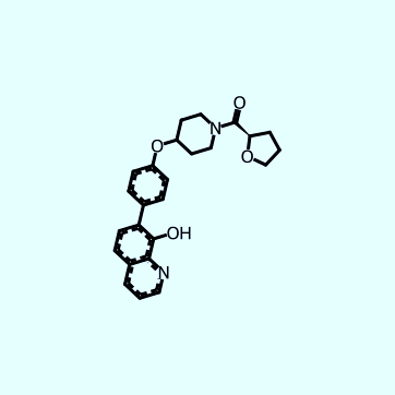 O=C([C@H]1CCCO1)N1CCC(Oc2ccc(-c3ccc4cccnc4c3O)cc2)CC1